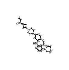 C=CC(=O)N1CC(N2CCC(c3cc4c(cn3)O[C@H](C)c3c(ncnc3N3CCOCC3)N4)CC2)C1